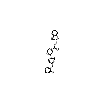 O=C(CCc1nc2ccccc2[nH]1)N1CCOC(c2ccc(Cc3ccccc3F)cn2)C1